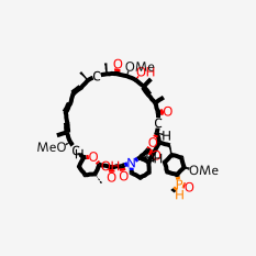 CO[C@H]1C[C@@H]2CC[C@@H](C)[C@@](O)(O2)C(=O)C(=O)N2CCC[C@@H]3C(C[C@@H]4CCC([PH](C)=O)[C@H](OC)C4)[C@H](CC(=O)C(C)/C=C(\C)[C@@H](O)[C@@H](OC)C(=O)[C@H](C)C[C@H](C)/C=C/C=C/C=C/1C)OC(=O)[C@H]32